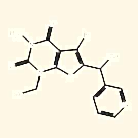 CC(C)Cn1c(=O)n(C)c(=O)c2c(Br)c(C(O)c3cccnc3)sc21